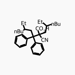 CCCCC(CC)CC(C#N)(C(=O)O)C(CC(CC)CCCC)(c1ccccc1)c1ccccc1